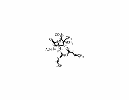 C=CCC(=O)OC(S)=C=CS.CC(=O)N[C@@H]1C(=O)N2C(C(=O)O)C(C)(C)S[C@@H]12